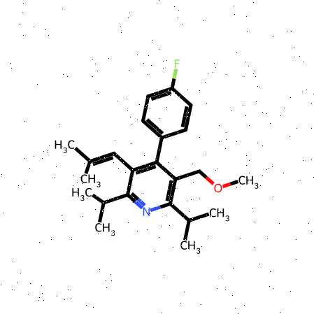 COCc1c(C(C)C)nc(C(C)C)c(C=C(C)C)c1-c1ccc(F)cc1